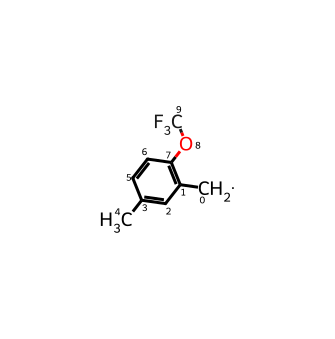 [CH2]c1cc(C)ccc1OC(F)(F)F